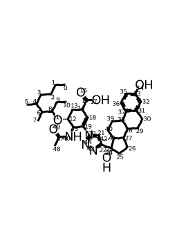 CCCCC(C)C(C)C(CC)O[C@@H]1CC(C(=O)O)C=C(n2cc([C@]3(O)CCC4C5CCc6cc(O)ccc6C5CC[C@@]43C)nn2)[C@H]1NC(C)=O